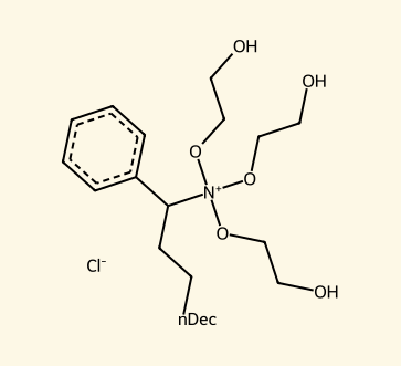 CCCCCCCCCCCCC(c1ccccc1)[N+](OCCO)(OCCO)OCCO.[Cl-]